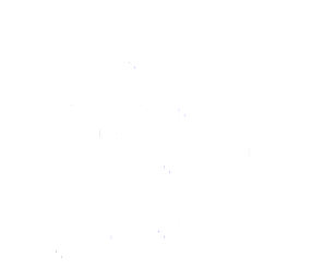 C=CN(C(=C)NC(C)N(C)/C(Cl)=N\C=C\C#N)C1CC1